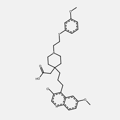 COc1cccc(SCCN2CCC(CCCc3c(Cl)cnc4ccc(OC)cc34)(CC(=O)O)CC2)c1